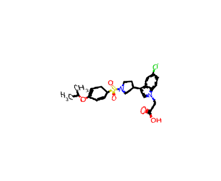 CC(C)OC1=CCC(S(=O)(=O)N2CCC(c3cn(CC(=O)O)c4ccc(Cl)cc34)C2)C=C1